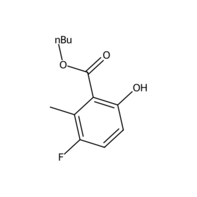 CCCCOC(=O)c1c(O)ccc(F)c1C